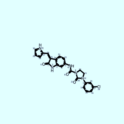 O=C1Nc2cc(NC(=O)N3CCN(c4cccc(Cl)c4)C3=O)ccc2C1=Cc1ccc[nH]1